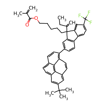 C=C(C)C(=O)OCCCCCC1(C(=C)CC)c2cc(-c3ccc4ccc5cc(C(C)(C)C)cc6ccc3c4c56)ccc2-c2ccc(C(F)(F)F)cc21